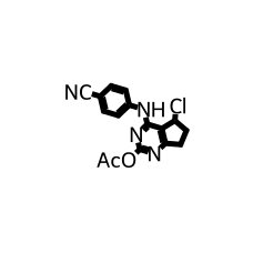 CC(=O)Oc1nc2c(c(Nc3ccc(C#N)cc3)n1)C(Cl)CC2